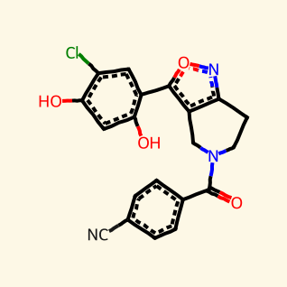 N#Cc1ccc(C(=O)N2CCc3noc(-c4cc(Cl)c(O)cc4O)c3C2)cc1